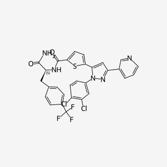 NC(=O)[C@H](Cc1ccc(C(F)(F)F)cc1)NC(=O)c1ccc(-c2cc(-c3cccnc3)nn2-c2ccc(Cl)c(Cl)c2)s1